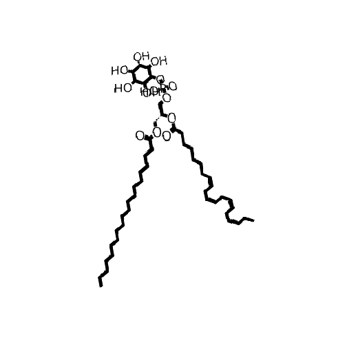 CC/C=C\C/C=C\C/C=C\C/C=C\CCCCCCC(=O)O[C@H](COC(=O)CCCCCCCCCCCCCCCCCCC)COP(=O)(O)OC1C(O)C(O)C(O)[C@@H](O)C1O